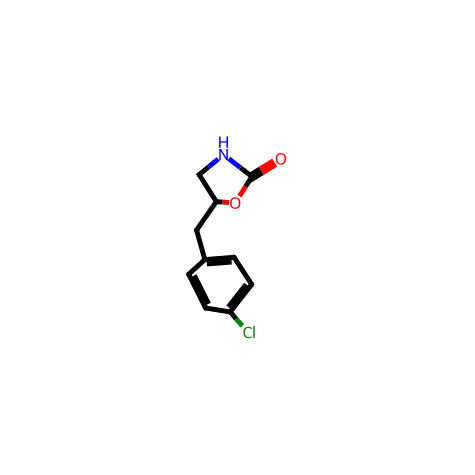 O=C1NCC(Cc2ccc(Cl)cc2)O1